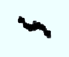 C=CC(=O)OCCCCOc1ccc(C(=O)Oc2cccc3c(OC(=O)c4ccc(OCCCCOC(=O)/C=C/C)cc4)cc(C)cc23)cc1